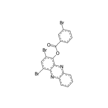 O=C(Oc1c(Br)cc(Br)c2nc3ccccc3nc12)c1cccc(Br)c1